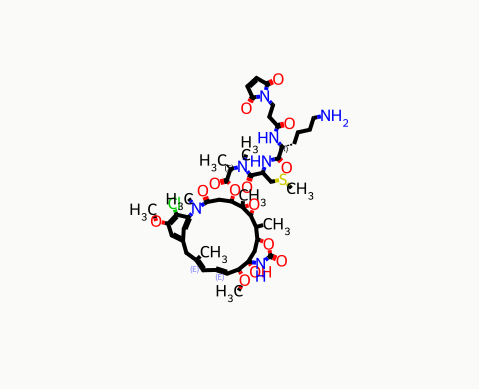 COc1cc2cc(c1Cl)N(C)C(=O)CC(OC(=O)[C@H](C)N(C)C(=O)C(CSC)NC(=O)[C@@H](CCCCN)NC(=O)CCN1C(=O)C=CC1=O)C1(C)OC1C(C)C1CC(O)(NC(=O)O1)C(OC)/C=C/C=C(\C)C2